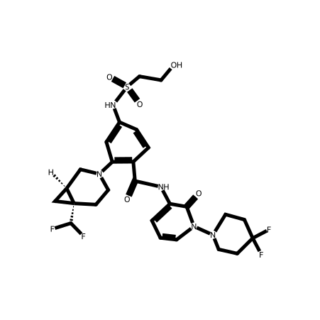 O=C(Nc1cccn(N2CCC(F)(F)CC2)c1=O)c1ccc(NS(=O)(=O)CCO)cc1N1CC[C@@]2(C(F)F)C[C@H]2C1